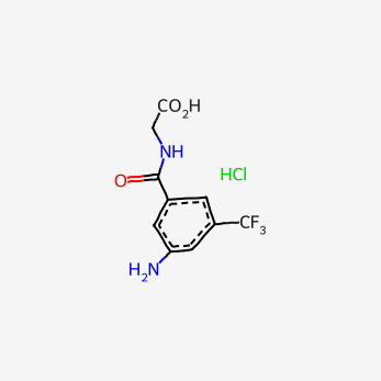 Cl.Nc1cc(C(=O)NCC(=O)O)cc(C(F)(F)F)c1